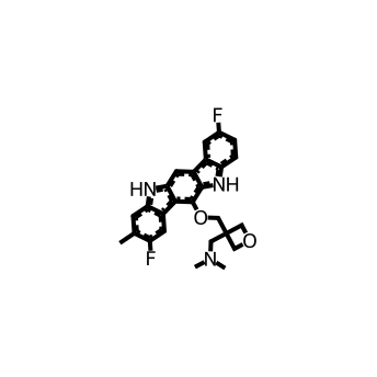 Cc1cc2[nH]c3cc4c([nH]c5ccc(F)cc54)c(OCC4(CN(C)C)COC4)c3c2cc1F